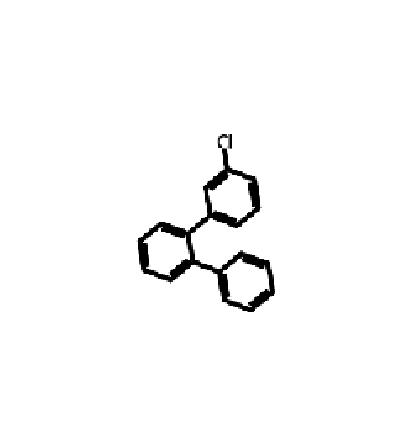 Clc1cccc(-c2ccccc2-c2ccccc2)c1